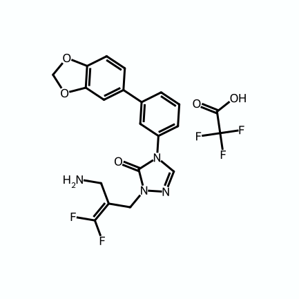 NCC(Cn1ncn(-c2cccc(-c3ccc4c(c3)OCO4)c2)c1=O)=C(F)F.O=C(O)C(F)(F)F